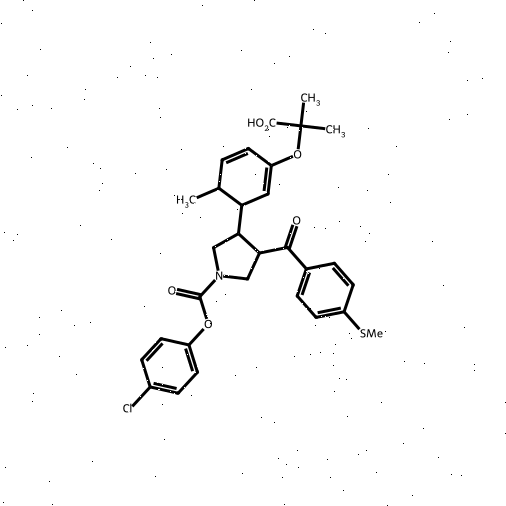 CSc1ccc(C(=O)C2CN(C(=O)Oc3ccc(Cl)cc3)CC2C2C=C(OC(C)(C)C(=O)O)C=CC2C)cc1